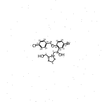 OCC1CCCN1CC(O)c1cc(Br)ccc1OCc1ccc(Cl)cc1